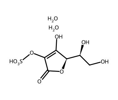 O.O.O=C1O[C@H]([C@@H](O)CO)C(O)=C1OS(=O)(=O)O